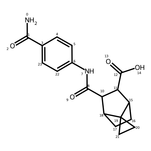 NC(=O)c1ccc(NC(=O)C2C(C(=O)O)C3CCC2C32CC2)cc1